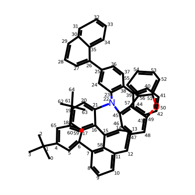 CC(C)(C)c1cc(-c2cccc3cccc(-c4ccccc4N(c4cc(-c5cccc6ccccc56)ccc4-c4ccccc4)c4cccc5oc6ccccc6c45)c23)cc(C(C)(C)C)c1